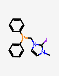 CN1C=CN(CP(c2ccccc2)c2ccccc2)C1I